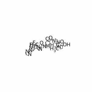 Cn1c(-c2cn(-c3ncccn3)nc2C(F)(F)F)cnc1C(=O)Nc1ccc(C(=O)N2CCN(C(=O)[C@@H]3[C@@H](O)CC[N+]3(C)C)CC2)c(Cl)c1